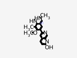 CN/C=C1/C=C(c2cc3ccc(O)nc3cn2)C(OC)=C(C)C1=N